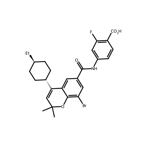 CC[C@H]1CC[C@H](C2=CC(C)(C)Oc3c(Br)cc(C(=O)Nc4ccc(C(=O)O)c(F)c4)cc32)CC1